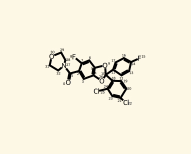 O=C(c1cc2c(cc1F)OC(c1ccc(F)cc1)(c1ccc(Cl)cc1Cl)O2)N1CCOCC1